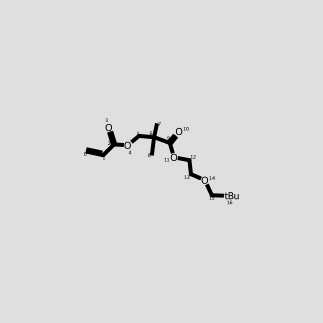 C=CC(=O)OCC(C)(C)C(=O)OCCOCC(C)(C)C